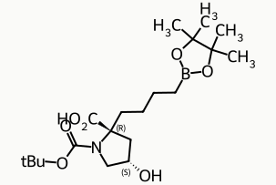 CC(C)(C)OC(=O)N1C[C@@H](O)C[C@]1(CCCCB1OC(C)(C)C(C)(C)O1)C(=O)O